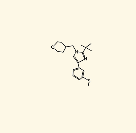 CSc1cccc(-c2cn(CC3CCOCC3)c(C(C)(C)C)n2)c1